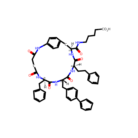 O=C(O)CCCCNC(=O)[C@@H]1Cc2ccc(cc2)NC(=O)CCC(=O)N[C@H](Cc2ccccc2)C(=O)N[C@@H](Cc2ccc(-c3ccccc3)cc2)C(=O)N[C@H](CCc2ccccc2)C(=O)N1